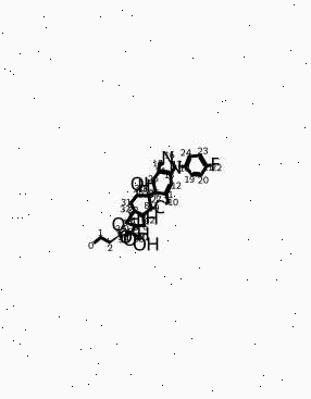 CCC[C@@H]1O[C@@H]2C[C@H]3[C@@H]4CCC5=Cc6c(cnn6-c6ccc(F)cc6)C[C@]5(C)[C@H]4[C@@H](O)C[C@]3(C)[C@]2(C(=O)CO)O1